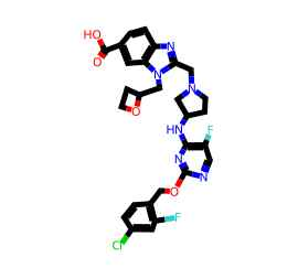 O=C(O)c1ccc2nc(CN3CCC(Nc4nc(OCc5ccc(Cl)cc5F)ncc4F)C3)n(CC3CCO3)c2c1